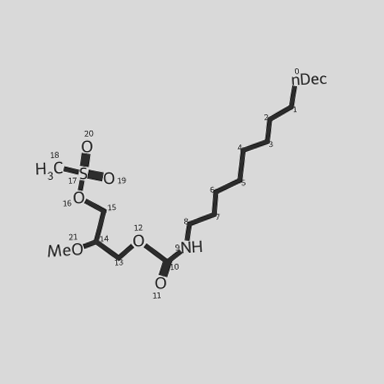 CCCCCCCCCCCCCCCCCCNC(=O)OCC(COS(C)(=O)=O)OC